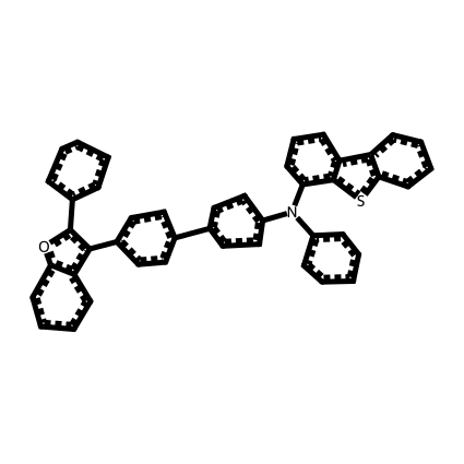 c1ccc(-c2oc3ccccc3c2-c2ccc(-c3ccc(N(c4ccccc4)c4cccc5c4sc4ccccc45)cc3)cc2)cc1